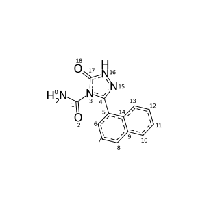 NC(=O)n1c(-c2cccc3ccccc23)n[nH]c1=O